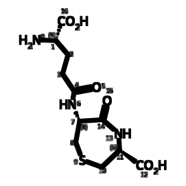 N[C@@H](CCC(=O)N[C@H]1CSC[C@H](C(=O)O)NC1=O)C(=O)O